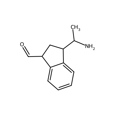 CC(N)C1CC(C=O)c2ccccc21